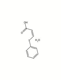 O.O=C(O)/C=C\Sc1ccccc1